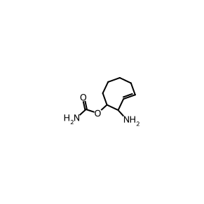 NC(=O)OC1CCCC/C=C/C1N